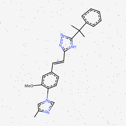 COc1cc(/C=C/c2nnc(C(C)(C)c3ccccc3)[nH]2)ccc1-n1cnc(C)c1